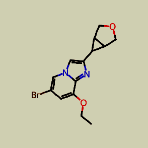 CCOc1cc(Br)cn2cc(C3C4COCC43)nc12